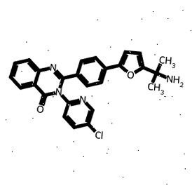 CC(C)(N)c1ccc(-c2ccc(-c3nc4ccccc4c(=O)n3-c3ccc(Cl)cn3)cc2)o1